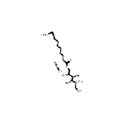 C=C=O.CCCCCCCC/C=C\CCCCCCCC(=O)OC[C@H](O)[C@@H](O)[C@H](O)[C@H](O)CO